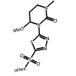 CCCCCCS(=O)(=O)c1nnc(N2C(=O)N(C)CCC2OC)s1